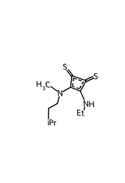 CCNc1c(N(C)CCC(C)C)c(=S)c1=S